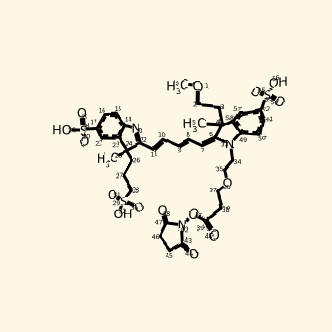 COCCC1(C)\C(=C/C=C/C=C/C2=Nc3ccc(S(=O)(=O)O)cc3C2(C)CCCS(=O)(=O)O)N(CCOCCC(=O)ON2C(=O)CCC2=O)c2ccc(S(=O)(=O)O)cc21